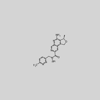 CCCN(Cc1ccc(C(F)(F)F)nn1)C(=O)c1cc2c3c(c(N)nc2cn1)[C@@H](C)OC3